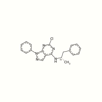 C[C@@H](Cc1ccccc1)Nc1nc(Cl)nc2c1cnn2-c1ccccc1